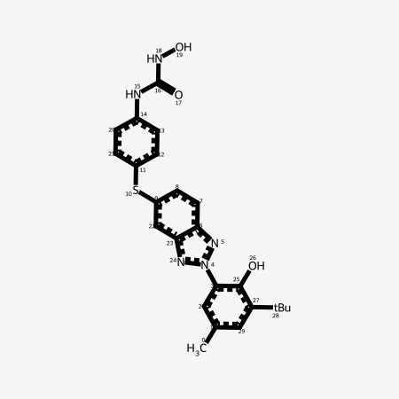 Cc1cc(-n2nc3ccc(Sc4ccc(NC(=O)NO)cc4)cc3n2)c(O)c(C(C)(C)C)c1